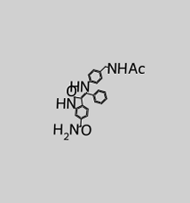 CC(=O)NCc1ccc(N/C(=C2\C(=O)Nc3cc(C(N)=O)ccc32)c2ccccc2)cc1